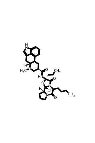 CCCCC1C(=O)N2CCC[C@H]2C2(O)O[C@@](CCC)(NC(=O)[C@@H]3CC4c5cccc6[nH]cc(c56)C[C@H]4N(C)C3)C(=O)N12